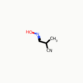 CC(C#N)C=NO